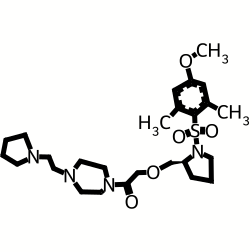 COc1cc(C)c(S(=O)(=O)N2CCC[C@H]2COCC(=O)N2CCN(CCN3CCCC3)CC2)c(C)c1